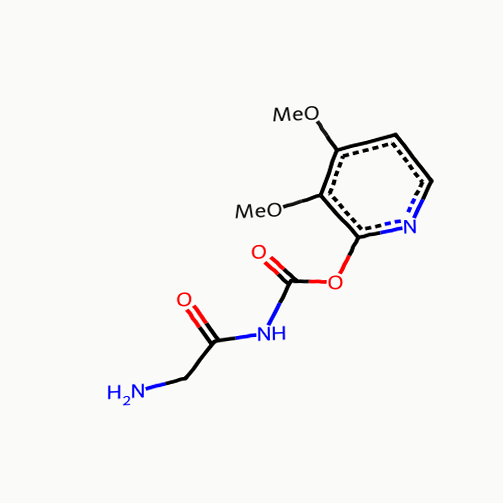 COc1ccnc(OC(=O)NC(=O)CN)c1OC